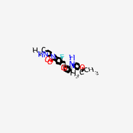 C=C1CCC(N2Cc3c(ccc(C[C@H]4OCCC[C@@H]4NC4CCC(OC(C)C)CC4)c3F)C2=O)C(=O)N1